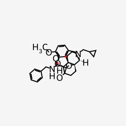 COc1ccc2c3c1OC1C4(O)CC[C@]5(OC4C(=O)NCc4ccccc4)[C@@H](C2)N(CC2CC2)CC[C@]315